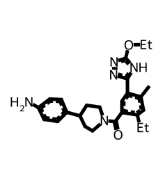 CCOc1nnc(-c2cc(C(=O)N3CCC(c4ccc(N)cc4)CC3)c(CC)cc2C)[nH]1